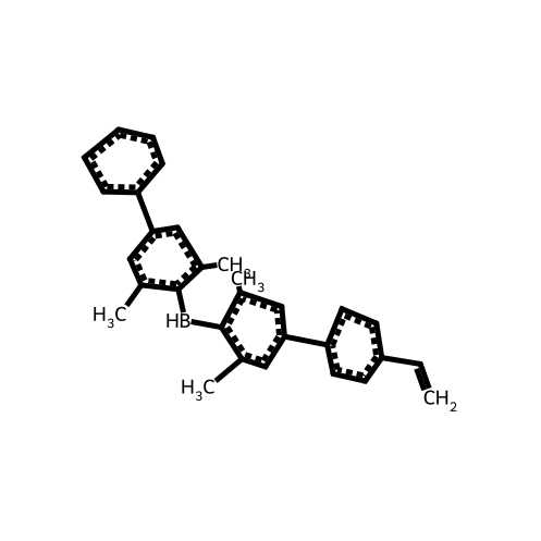 C=Cc1ccc(-c2cc(C)c(Bc3c(C)cc(-c4ccccc4)cc3C)c(C)c2)cc1